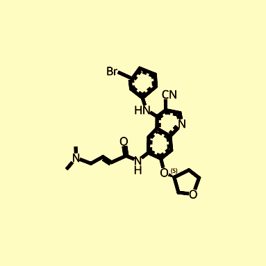 CN(C)CC=CC(=O)Nc1cc2c(Nc3cccc(Br)c3)c(C#N)cnc2cc1O[C@H]1CCOC1